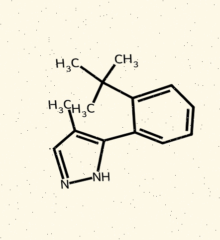 Cc1[c]n[nH]c1-c1ccccc1C(C)(C)C